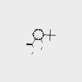 C=C(OC)c1cccc(C(C)(C)C)c1OC